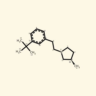 C[C@@H]1CCN(CCc2cccc(C(C)(C)C)c2)C1